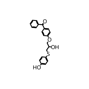 O=C(c1ccccc1)c1ccc(OCC(O)CSc2ccc(O)cc2)cc1